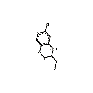 OCC1COc2ccc(Cl)cc2N1